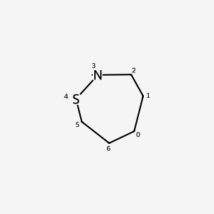 C1CC[N]SCC1